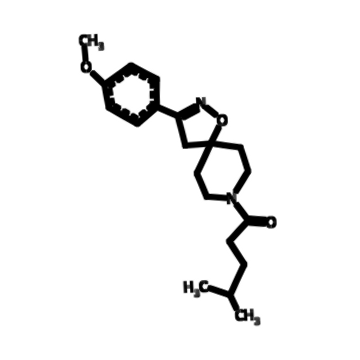 COc1ccc(C2=NOC3(CCN(C(=O)CCC(C)C)CC3)C2)cc1